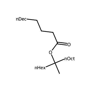 CCCCCCCCCCCCCC(=O)OC(C)(CCCCCC)CCCCCCCC